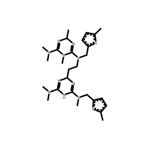 Cc1ccc(CN(C)C2=NC(CCN(Cc3ccc(C)s3)C3=NC(C)N=C(N(C)C)N3C)N=C(N(C)C)N2)s1